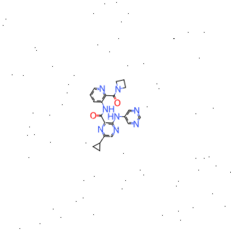 O=C(Nc1cccnc1C(=O)N1CCC1)c1nc(C2CC2)cnc1Nc1cncnc1